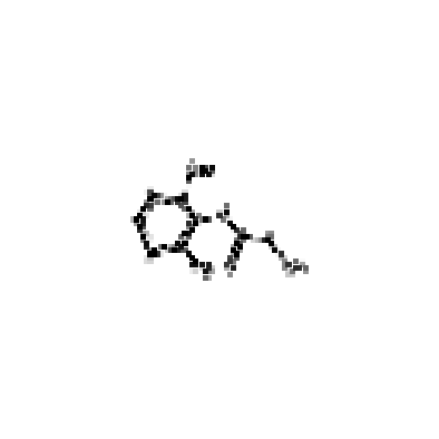 COc1cccc(C=O)c1OC(=O)C[N+](=O)[O-]